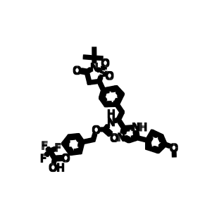 COc1ccc(-c2cnc(C(Cc3ccc(C4CC(=O)N(C(C)(C)C)S4(=O)=O)cc3)NC(=O)OCc3ccccc3)[nH]2)cc1.O=C(O)C(F)(F)F